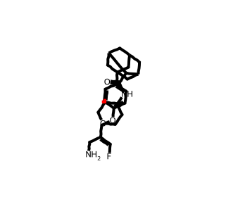 NCC(=CF)COc1ccc(C23CC4CC(C2)C(C(=O)NC2CCOCC2)C(C4)C3)cc1